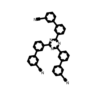 N#Cc1cccc(-c2cccc(-c3nc(-c4cccc(-c5cccc(C#N)c5)c4)nc(-c4cccc(-c5cccc(C#N)c5)c4)n3)c2)c1